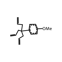 C=CCC(CC=C)(CC=C)c1ccc(OC)cc1